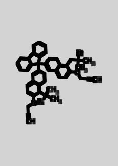 C#CCOc1ccc2cc(C3(c4ccc5c(C(C)(C)CC)c(OCC#C)ccc5c4)c4ccccc4-c4ccccc43)ccc2c1CC(C)(C)CC